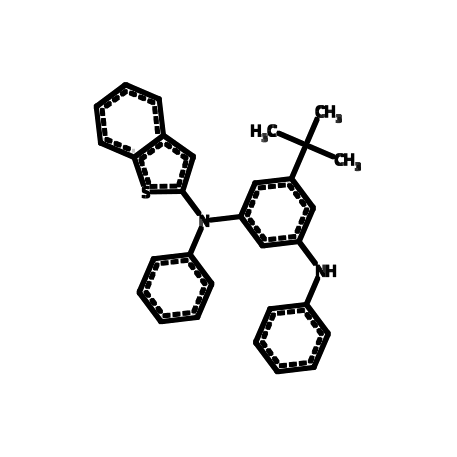 CC(C)(C)c1cc(Nc2ccccc2)cc(N(c2ccccc2)c2cc3ccccc3s2)c1